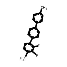 Cc1ccc(-c2ccc(-c3ccc(C)c(F)c3F)cc2)cc1